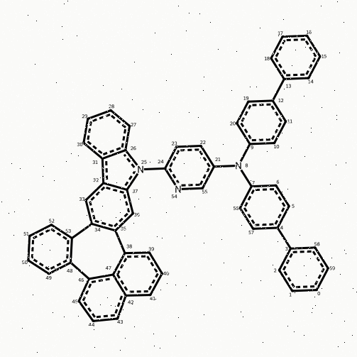 c1ccc(-c2ccc(N(c3ccc(-c4ccccc4)cc3)c3ccc(-n4c5ccccc5c5cc6c(cc54)-c4cccc5cccc(c45)-c4ccccc4-6)nc3)cc2)cc1